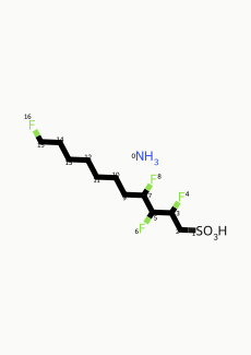 N.O=S(=O)(O)CC(F)C(F)C(F)CCCCCCCF